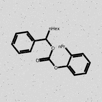 CCCCCCC(OC(=O)Oc1ccccc1CCC)c1ccccc1